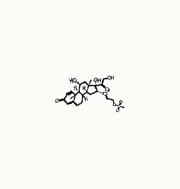 C[C@]12C=CC(=O)C=C1CC[C@@H]1[C@@H]2[C@@H](O)C[C@@]2(C)[C@H]1C[C@@H](OCCOS(C)(=O)=O)[C@]2(O)C(=O)CO